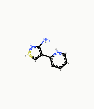 Nc1nscc1-c1ccccn1